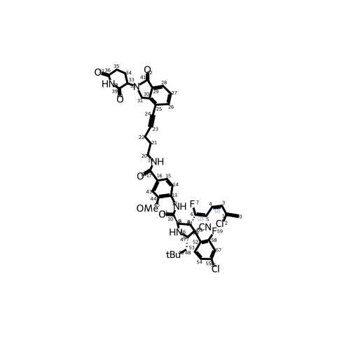 C=C(Cl)/C=C\C=C(/F)[C@H]1[C@H](C(=O)Nc2ccc(C(=O)NCCCC#Cc3cccc4c3CN(C3CCC(=O)NC3=O)C4=O)cc2OC)N[C@@H](CC(C)(C)C)[C@]1(C#N)c1ccc(Cl)cc1F